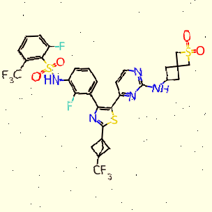 O=S1(=O)CC2(CC(Nc3nccc(-c4sc(C56CC(C(F)(F)F)(C5)C6)nc4-c4cccc(NS(=O)(=O)c5c(F)cccc5C(F)(F)F)c4F)n3)C2)C1